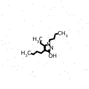 CCCCc1c(O)nn(CCCC)c1CC